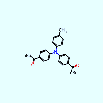 CCCCC(=O)c1ccc(N(c2ccc(C)cc2)c2ccc(C(=O)CCCC)cc2)cc1